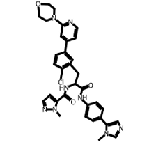 Cn1cncc1-c1ccc(NC(=O)C(Cc2cc(-c3ccnc(N4CCOCC4)c3)ccc2Cl)NC(=O)c2ccnn2C)cc1